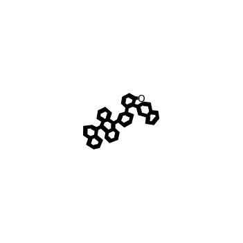 c1cc(-c2c3ccccc3c(-c3cccc4ccccc34)c3ccccc23)cc(-c2cccc3oc4cc5ccccc5cc4c23)c1